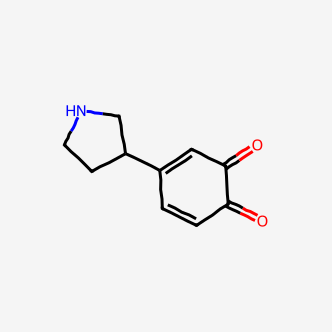 O=C1C=CC(C2CCNC2)=CC1=O